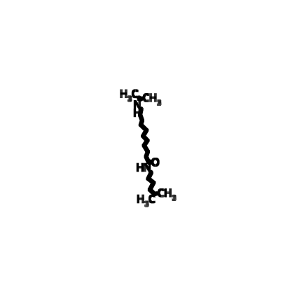 CC(C)CCCCNC(=O)CCCCCCCCCCNC(C)C